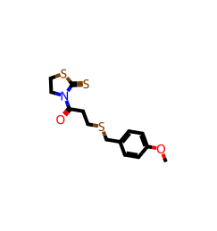 COc1ccc(CSCCC(=O)N2CCSC2=S)cc1